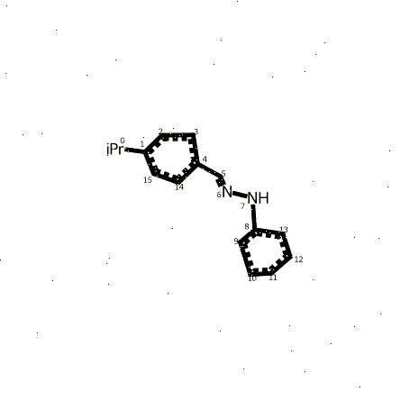 CC(C)c1ccc(C=NNc2ccccc2)cc1